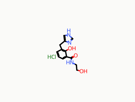 Cl.O=C(NCCO)c1cccc(Cc2c[nH]cn2)c1O